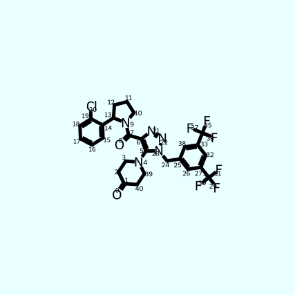 O=C1CCN(c2c(C(=O)N3CCCC3c3ccccc3Cl)nnn2Cc2cc(C(F)(F)F)cc(C(F)(F)F)c2)CC1